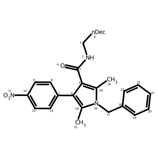 CCCCCCCCCCCNC(=O)c1c(-c2ccc([N+](=O)[O-])cc2)c(C)n(Cc2ccccc2)c1C